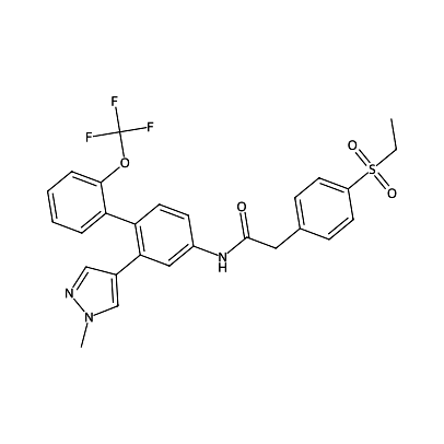 CCS(=O)(=O)c1ccc(CC(=O)Nc2ccc(-c3ccccc3OC(F)(F)F)c(-c3cnn(C)c3)c2)cc1